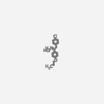 C=CCOc1ccc(N(N)Cc2ccc(Cl)cc2)cc1.Cl